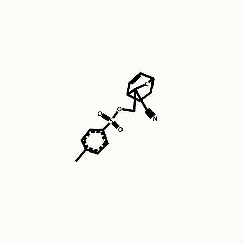 Cc1ccc(S(=O)(=O)OCC2(C#N)CC3C=CC2CC3)cc1